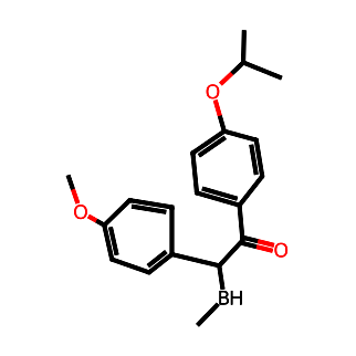 CBC(C(=O)c1ccc(OC(C)C)cc1)c1ccc(OC)cc1